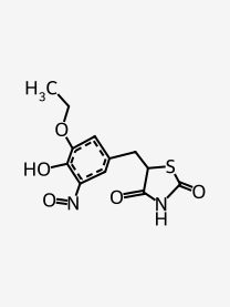 CCOc1cc(CC2SC(=O)NC2=O)cc(N=O)c1O